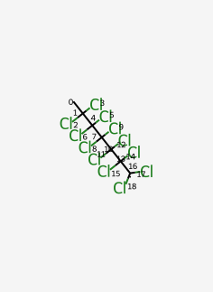 CC(Cl)(Cl)C(Cl)(Cl)C(Cl)(Cl)C(Cl)(Cl)C(Cl)(Cl)[C](Cl)Cl